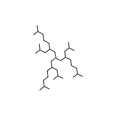 CC(C)CCCC(CC(C)C)[CH2][Al]([CH2]C(CCCC(C)C)CC(C)C)[CH2]C(CCCC(C)C)CC(C)C